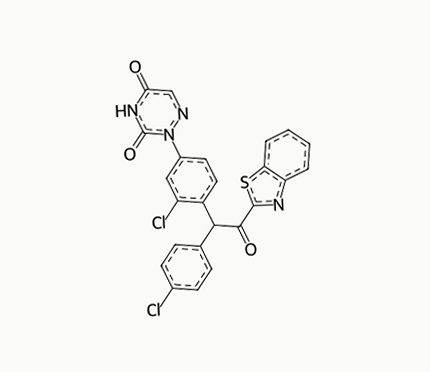 O=C(c1nc2ccccc2s1)C(c1ccc(Cl)cc1)c1ccc(-n2ncc(=O)[nH]c2=O)cc1Cl